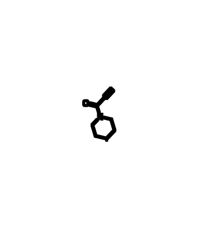 C#CC(=O)N1CC[CH]CC1